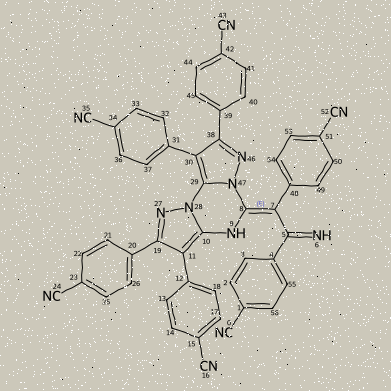 N#Cc1ccc(C(=N)/C(=C2\Nc3c(-c4ccc(C#N)cc4)c(-c4ccc(C#N)cc4)nn3-c3c(-c4ccc(C#N)cc4)c(-c4ccc(C#N)cc4)nn32)c2ccc(C#N)cc2)cc1